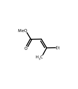 CC/C(C)=C/C(=O)OC